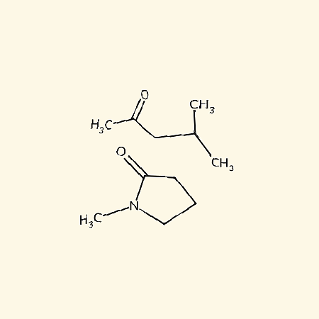 CC(=O)CC(C)C.CN1CCCC1=O